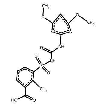 COc1cc(OC)nc(NC(=O)NS(=O)(=O)c2cccc(C(=O)O)c2C)n1